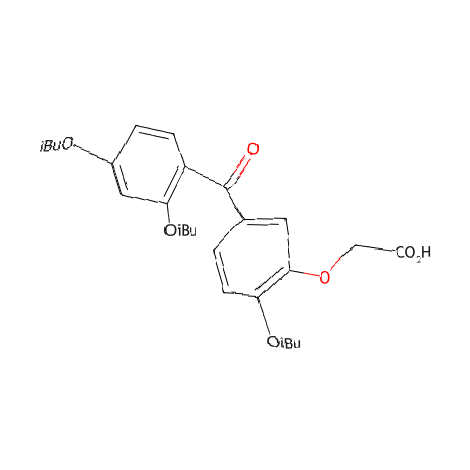 CC(C)COc1ccc(C(=O)c2ccc(OCC(C)C)c(OCC(=O)O)c2)c(OCC(C)C)c1